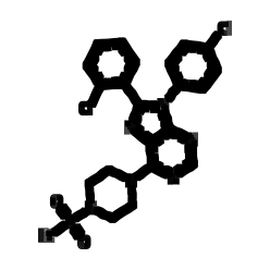 CCS(=O)(=O)N1CCN(c2ncnc3c2nc(-c2ccccc2Cl)n3-c2ccc(Cl)cc2)CC1